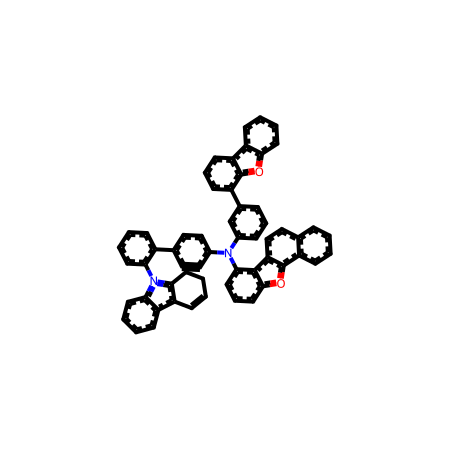 c1c(-c2ccccc2-n2c3c(c4ccccc42)C=CCC3)ccc(N(c2cccc(-c3cccc4c3oc3ccccc34)c2)c2cccc3oc4c5ccccc5ccc4c23)c#1